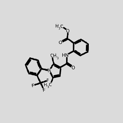 COC(=O)c1ccccc1NC(=O)c1cc(C)n(-c2ccccc2C(F)(F)F)c1C